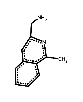 Cc1nc(CN)cc2ccccc12